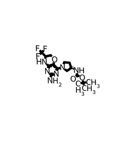 CC(C)(C)OC(=O)N[C@@H]1CCN(c2nc(N)nc3c2OCC(C(F)(F)F)N3)C1